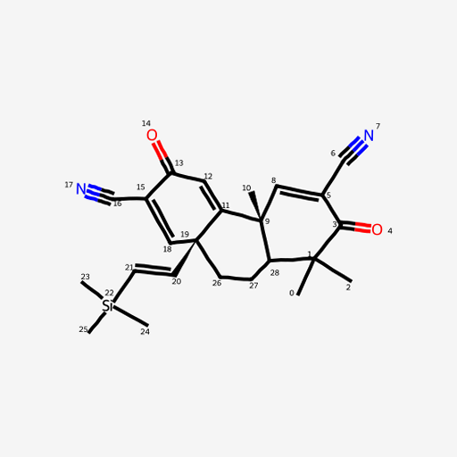 CC1(C)C(=O)C(C#N)=C[C@@]2(C)C3=CC(=O)C(C#N)=C[C@@]3(C=C[Si](C)(C)C)CCC12